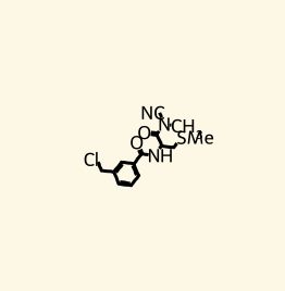 CSCC(NC(=O)c1cccc(CCl)c1)C(=O)N(C)C#N